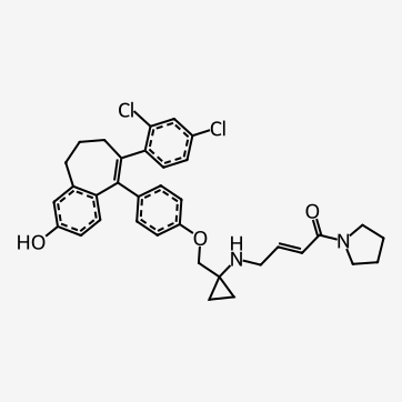 O=C(/C=C/CNC1(COc2ccc(C3=C(c4ccc(Cl)cc4Cl)CCCc4cc(O)ccc43)cc2)CC1)N1CCCC1